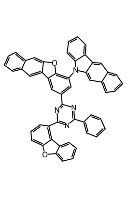 c1ccc(-c2nc(-c3cc(-n4c5ccccc5c5cc6ccccc6cc54)c4oc5cc6ccccc6cc5c4c3)nc(-c3cccc4oc5ccccc5c34)n2)cc1